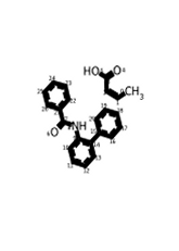 C/C=C\C(=O)O.O=C(Nc1ccccc1-c1ccccc1)c1ccccc1